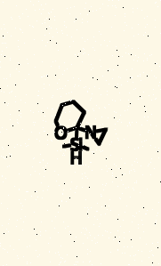 C[SiH](C)C1(N2CC2)CCCCO1